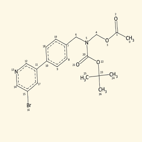 CC(=O)OCN(Cc1ccc(-c2cncc(Br)c2)cc1)C(=O)OC(C)(C)C